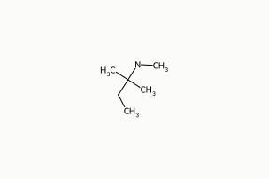 CCC(C)(C)[N]C